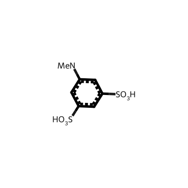 CNc1cc(S(=O)(=O)O)cc(S(=O)(=O)O)c1